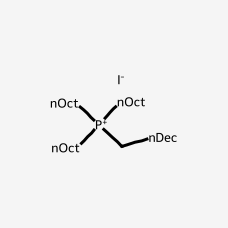 CCCCCCCCCCC[P+](CCCCCCCC)(CCCCCCCC)CCCCCCCC.[I-]